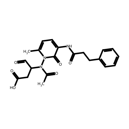 CC(=O)N(C(C=O)CC(=O)O)n1c(C)ccc(NC(=O)CCc2ccccc2)c1=O